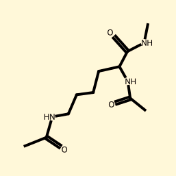 CNC(=O)C(CCCCNC(C)=O)NC(C)=O